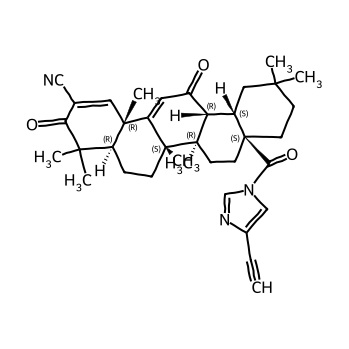 C#Cc1cn(C(=O)[C@]23CCC(C)(C)C[C@H]2[C@H]2C(=O)C=C4[C@@]5(C)C=C(C#N)C(=O)C(C)(C)[C@@H]5CC[C@@]4(C)[C@]2(C)CC3)cn1